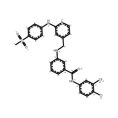 CS(=O)(=O)c1ccc(Nc2cc(CNc3cccc(C(=O)Nc4ccc(Cl)c(C(F)(F)F)c4)c3)ccn2)cc1